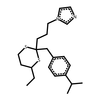 CCC1CCSC(CCCn2ccnc2)(Cc2ccc(C(C)C)cc2)S1